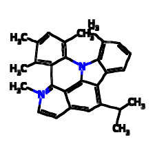 Cc1cc(C)c2c(c1C)c1c3c(cc[n+]1C)cc(C(C)C)c1c4cccc(C)c4n2c13